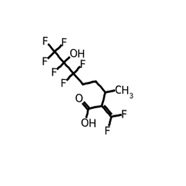 CC(CCC(F)(F)C(O)(F)C(F)(F)F)C(C(=O)O)=C(F)F